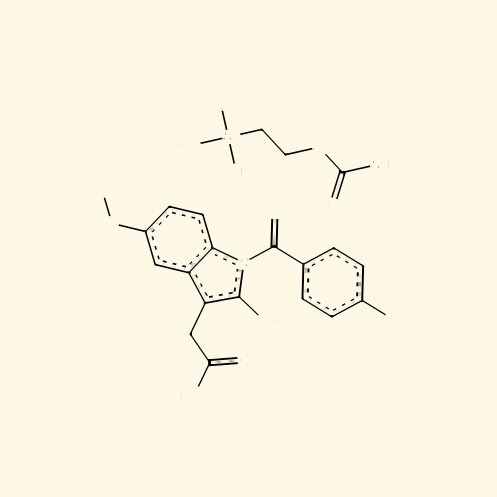 COc1ccc2c(c1)c(CC(=O)O)c(C)n2C(=O)c1ccc(Cl)cc1.C[N+](C)(C)CCOC(N)=O.[Cl-]